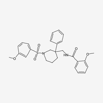 COc1cccc(S(=O)(=O)N2CCCC(CNC(=O)c3ccccc3OC)(c3ccccc3)C2)c1